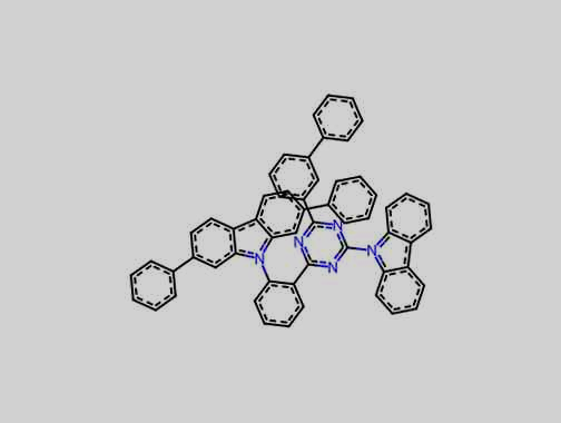 c1ccc(-c2cccc(-c3nc(-c4ccccc4-n4c5cc(-c6ccccc6)ccc5c5ccc(-c6ccccc6)cc54)nc(-n4c5ccccc5c5ccccc54)n3)c2)cc1